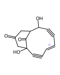 O=C1CC2C(=O)C(O)(C#C/C=C/C#CC2O)C1